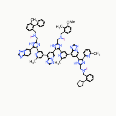 COc1cccc(CN(I)Cc2nc(-c3cc(-c4cc(-c5[nH]c(CN(I)Cc6ccccc6C6CCCC6)nc5-c5cccc(C)n5)cn5ncnc45)cc(C)n3)c(-c3cc(-c4cc(C)nc(-c5nc(CN(I)Cc6cccc(C)c6-c6ccccc6)[nH]c5-c5ccc6ncnn6c5)c4)c4ncnn4c3)[nH]2)c1C